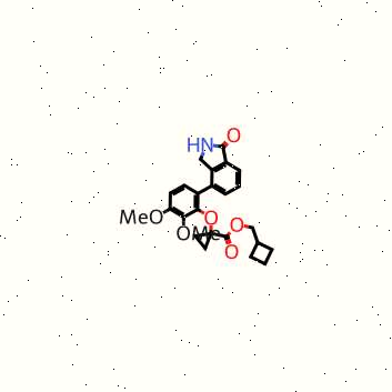 COc1ccc(-c2cccc3c2CNC3=O)c(OC2(C(=O)OCC3CCC3)CC2)c1OC